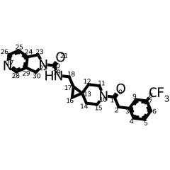 O=C(Cc1cccc(C(F)(F)F)c1)N1CCC2(CC1)CC2CNC(=O)N1Cc2ccncc2C1